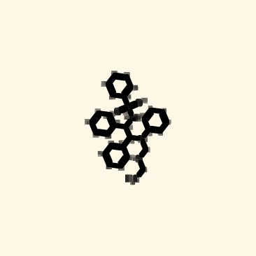 CCOCN(c1ccccc1)C(c1ccccc1)C(NS(=O)(=O)c1ccccc1)c1ccccc1